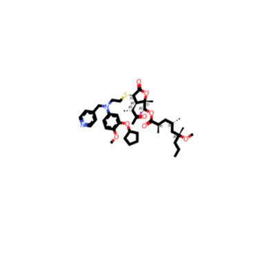 CCC[C@](C)(C[C@@H](C)C[C@@H](C)C(=O)O[C@H](I)[C@@]1(C)OC(=O)[C@@H](SCCN(Cc2ccncc2)c2ccc(OC)c(OC3CCCC3)c2)[C@@H]1[C@@H](C)C(C)=O)OC